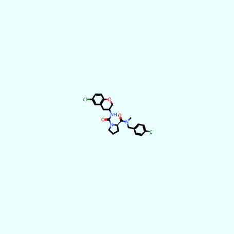 CN(Cc1ccc(Cl)cc1)C(=O)[C@H]1CCCN1C(=O)NC1COc2ccc(Cl)cc2C1